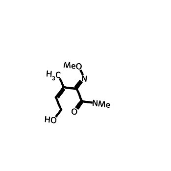 CNC(=O)C(=N/OC)/C(C)=C\CO